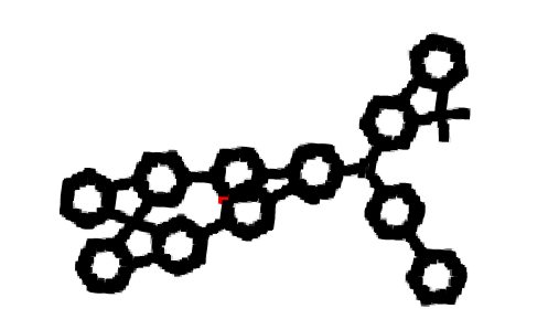 CC(C)c1ccc(-c2ccc3c(c2)C2(c4ccccc4-c4ccc(-c5ccc(-c6ccc(N(c7ccc(-c8ccccc8)cc7)c7ccc8c(c7)C(C)(C)c7ccccc7-8)cc6)cc5)cc42)c2ccccc2-3)cc1